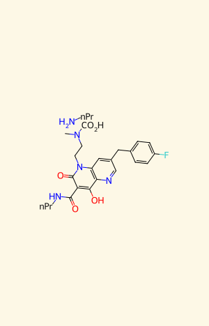 CCCN.CCCNC(=O)c1c(O)c2ncc(Cc3ccc(F)cc3)cc2n(CCN(C)C(=O)O)c1=O